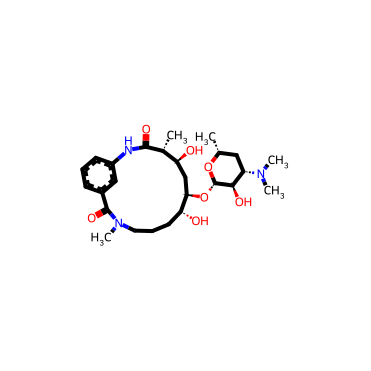 C[C@@H]1C[C@H](N(C)C)[C@@H](O)[C@H](O[C@@H]2C[C@H](O)[C@@H](C)C(=O)Nc3cccc(c3)C(=O)N(C)CCC[C@H]2O)O1